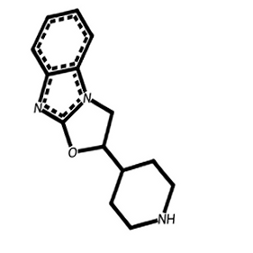 c1ccc2c(c1)nc1n2CC(C2CCNCC2)O1